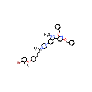 Cc1c(Br)cccc1OC1CCC(CCC[C@H](C)N2CCN(c3ccc4c(-c5ccc(OCc6ccccc6)nc5OCc5ccccc5)nn(C)c4c3)CC2)CC1